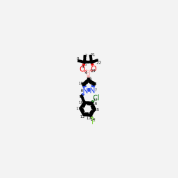 CC1(C)OB(c2cnn(Cc3ccc(F)cc3Cl)c2)OC1(C)C